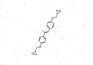 C/C(=C\c1ccc(OCC2CO2)cc1)c1ccc(OCC2CO2)cc1